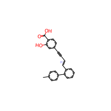 Cc1ccc(-c2ccccc2/C=C/C#Cc2ccc(C(=O)O)c(O)c2)cc1